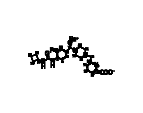 O=C(Nc1ccc(C(=O)N2CCN(Cc3cccc(C(=O)[O-])n3)CC2)cc1F)NC1CCC1.[Na+]